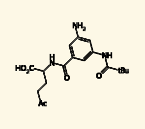 CC(=O)CCC(NC(=O)c1cc(N)cc(NC(=O)C(C)(C)C)c1)C(=O)O